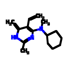 C=CC1=C(N(C)C2CCCCC2)N=C(C)NC1=C